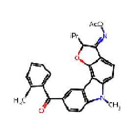 CC(=O)O/N=C1/c2ccc3c(c2OC1C(C)C)c1cc(C(=O)c2ccccc2C)ccc1n3C